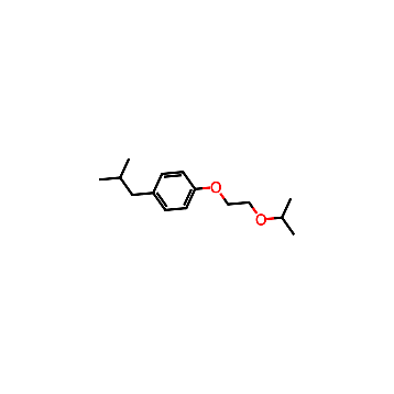 CC(C)Cc1ccc(OCCOC(C)C)cc1